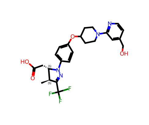 C[C@@H]1C(C(F)(F)F)=NN(c2ccc(OC3CCN(c4cc(CO)ccn4)CC3)cc2)[C@H]1CC(=O)O